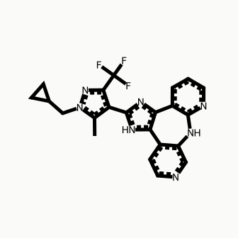 Cc1c(-c2nc3c([nH]2)-c2ccncc2Nc2ncccc2-3)c(C(F)(F)F)nn1CC1CC1